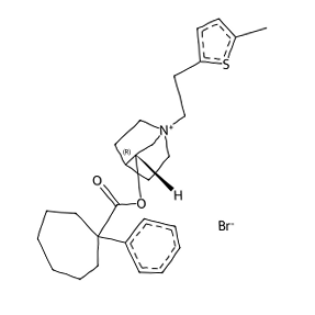 Cc1ccc(CC[N+]23CCC(CC2)[C@@H](OC(=O)C2(c4ccccc4)CCCCCC2)C3)s1.[Br-]